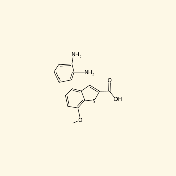 COc1cccc2cc(C(=O)O)sc12.Nc1ccccc1N